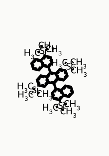 C[Si](C)(C)c1ccc2c(-c3ccc([Si](C)(C)C)c4ccccc34)c3cc([Si](C)(C)C)ccc3c(-c3ccc([Si](C)(C)C)c4ccccc34)c2c1